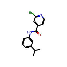 CC(C)c1cccc(NC(=O)c2ccnc(Br)c2)c1